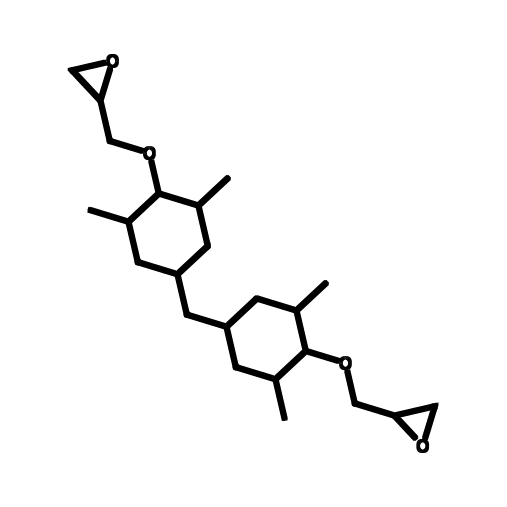 CC1CC(CC2CC(C)C(OCC3CO3)C(C)C2)CC(C)C1OCC1CO1